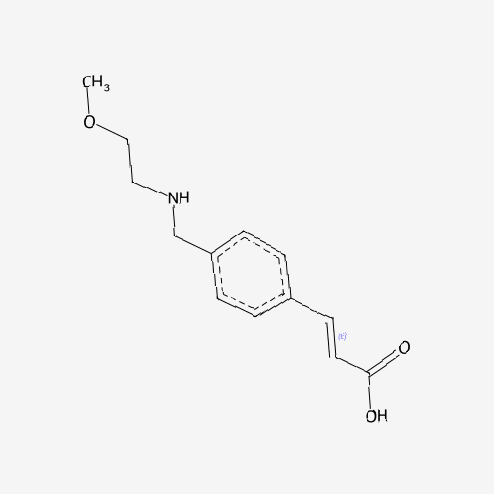 COCCNCc1ccc(/C=C/C(=O)O)cc1